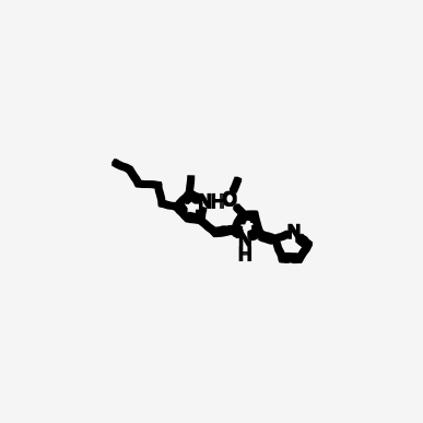 CCCCCc1cc(/C=c2/[nH]/c(=C3\C=CC=N3)cc2OC)[nH]c1C